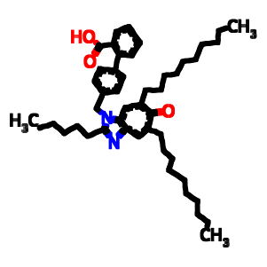 CCCCCCCCCCc1cc2nc(CCCCCC)n(Cc3ccc(-c4ccccc4C(=O)O)cc3)c2cc(CCCCCCCCCC)c1=O